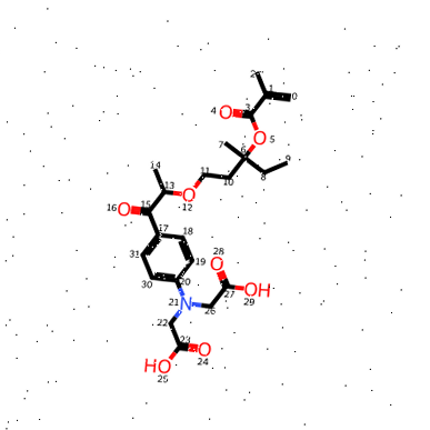 C=C(C)C(=O)OC(C)(CC)CCOC(C)C(=O)c1ccc(N(CC(=O)O)CC(=O)O)cc1